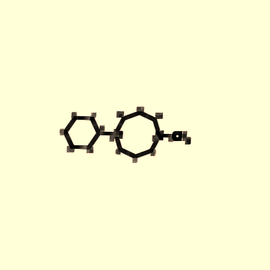 CN1CC[CH2][In]([CH]2CCCCC2)[CH2]CC1